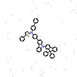 C1=C(c2ccccc2)SC(N(c2ccc(-c3ccccc3)cc2)c2ccc(-c3ccc4c(c3)c3ccccc3n4-c3ccc4c(c3)C(c3ccccc3)(c3ccccc3)c3ccccc3-4)cc2)C1